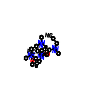 Cc1ccc2c(c1)C1(c3ccccc3Oc3cc(-c4nc(-c5ccccc5)nc(-c5cccc(-c6ccc(C#N)cc6)c5)n4)ccc31)c1cccc(-c3nc(-c4ccccc4)nc(-c4ccc(-c5cccc(-c6nc(-c7ccccc7)nc(-c7cccc8c7Oc7ccccc7C87c8ccccc8-c8ccc(-c9nc(-c%10ccccc%10)nc(-c%10cccc(C(F)(F)F)c%10)n9)cc87)n6)c5)cc4)n3)c1-2